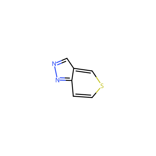 c1cc2nncc-2cs1